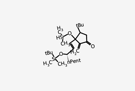 C=C1C(=O)CC(C(C)(C)C)C1(C=C[C@H](CCCCC)O[Si](C)(C)C(C)(C)C)O[SiH](C)C